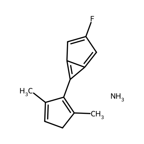 CC1=CCC(C)=C1c1c2cc(F)cc1-2.N